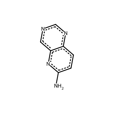 Nc1ccc2ncncc2n1